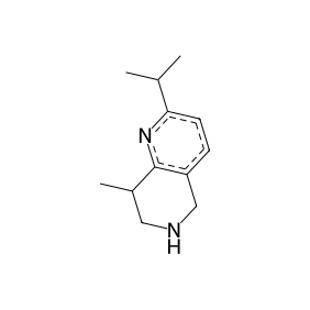 CC(C)c1ccc2c(n1)C(C)CNC2